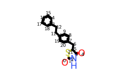 O=C1NC(=O)C(Cc2ccc(CCc3ccccc3)cc2)S1